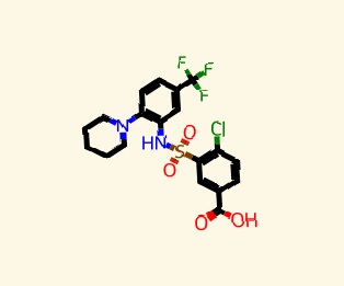 O=C(O)c1ccc(Cl)c(S(=O)(=O)Nc2cc(C(F)(F)F)ccc2N2CCCCC2)c1